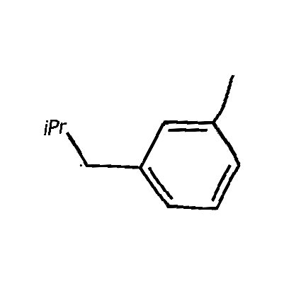 Cc1cccc([CH]C(C)C)c1